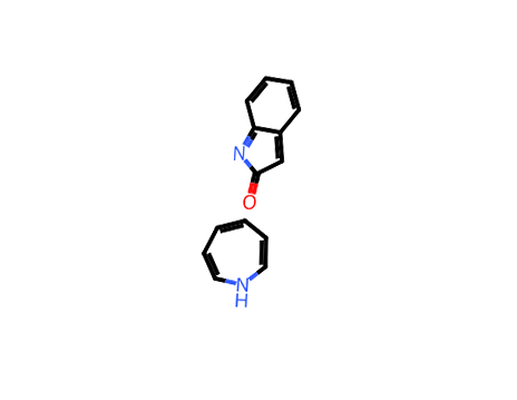 C1=CC=CNC=C1.O=C1C=c2ccccc2=N1